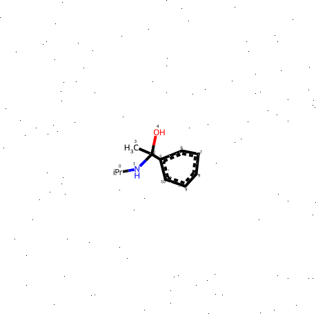 CC(C)NC(C)(O)c1ccccc1